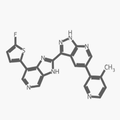 Cc1ccncc1-c1cnc2[nH]nc(-c3nc4c(-c5ccc(F)s5)cncc4[nH]3)c2c1